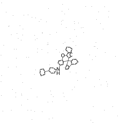 c1ccc(-c2ccc(Nc3ccc4c(c3)C3(c5ccccc5-c5ccccc53)c3ccc5ccccc5c3O4)cc2)cc1